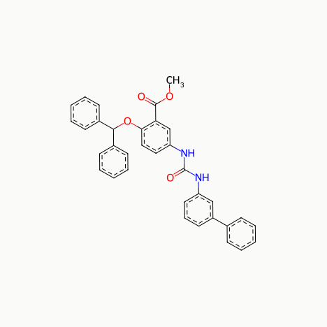 COC(=O)c1cc(NC(=O)Nc2cccc(-c3ccccc3)c2)ccc1OC(c1ccccc1)c1ccccc1